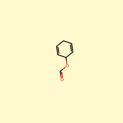 O=COC1C=CCC=C1